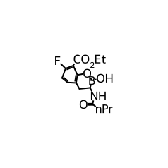 CCCC(=O)NC1Cc2ccc(F)c(C(=O)OCC)c2OB1O